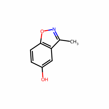 Cc1noc2ccc(O)cc12